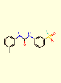 Cc1cccc(NC(=O)Nc2cccc(S(=O)(=O)F)c2)c1